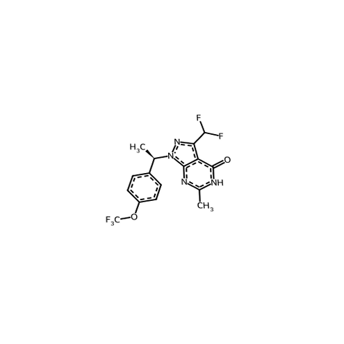 Cc1nc2c(c(C(F)F)nn2[C@H](C)c2ccc(OC(F)(F)F)cc2)c(=O)[nH]1